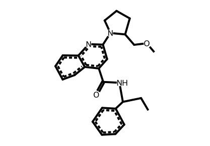 CCC(NC(=O)c1cc(N2CCCC2COC)nc2ccccc12)c1ccccc1